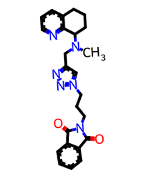 CN(Cc1cn(CCCN2C(=O)c3ccccc3C2=O)nn1)C1CCCc2cccnc21